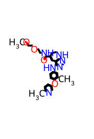 COCCOCCNC(=O)C1=Cc2c(ncnc2Nc2ccc(Oc3ccc(C)nc3)c(C)c2)NCC1